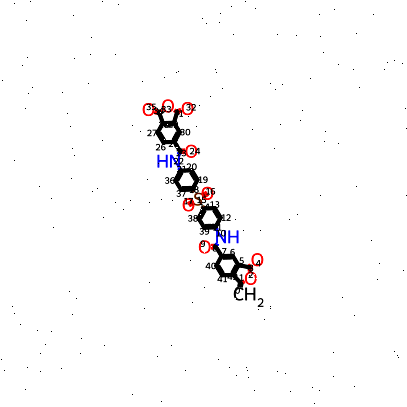 C=C1OC(=O)c2cc(C(=O)Nc3ccc(S(=O)(=O)c4ccc(NC(=O)c5ccc6c(c5)C(=O)OC6=O)cc4)cc3)ccc21